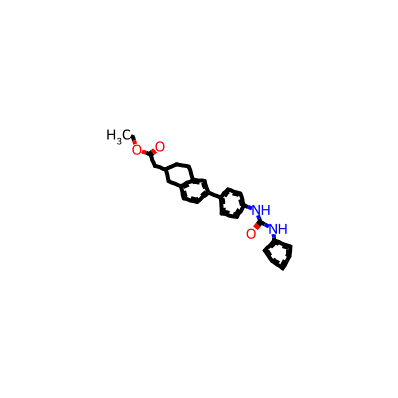 CCOC(=O)CC1CCc2cc(-c3ccc(NC(=O)Nc4ccccc4)cc3)ccc2C1